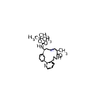 CC1/C=C/CC(NC(=O)OC(C)(C)C)c2cccc(c2)-c2ncccc2NC1=O